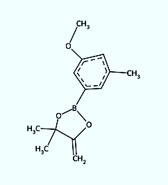 C=C1OB(c2cc(C)cc(OC)c2)OC1(C)C